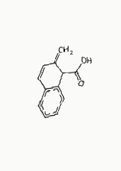 C=C1C=Cc2ccccc2C1C(=O)O